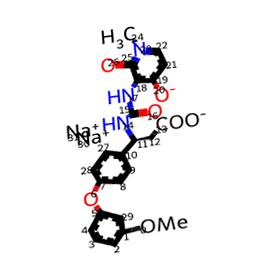 COc1cccc(Oc2ccc([C@H](CC(=O)[O-])NC(=O)Nc3c([O-])ccn(C)c3=O)cc2)c1.[Na+].[Na+]